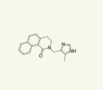 Cc1[nH]cnc1CN1CCc2ccc3ccccc3c2C1=O